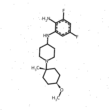 CO[C@H]1CC[C@](C)(N2CCC(Nc3cc(F)cc(F)c3N)CC2)CC1